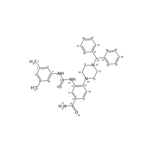 Cc1cc(C)cc(NC(=O)Nc2cc(C(N)=O)ccc2N2CCN(C(c3ccccc3)c3ccccc3)CC2)c1